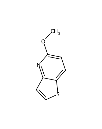 COc1ccc2sccc2n1